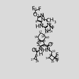 Cn1nc(OC(F)F)cc1Nc1nncn1[C@H]1CCc2sc(NC(=O)C3CC3)c(C(=O)NCC3CCC3(F)F)c2C1